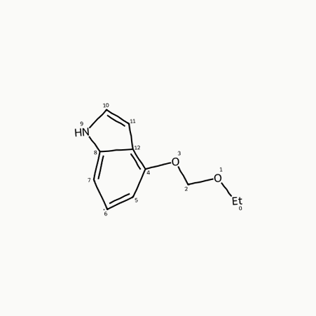 CCOCOc1c[c]cc2[nH]ccc12